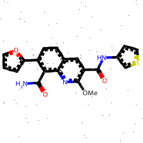 COc1nc2c(C(N)=O)c(-c3ccco3)ccc2cc1C(=O)Nc1ccsc1